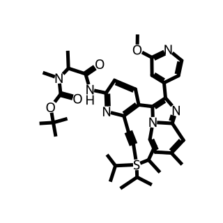 COc1cc(-c2nc3cc(C)ccn3c2-c2ccc(NC(=O)C(C)N(C)C(=O)OC(C)(C)C)nc2C#CS(C(C)C)(C(C)C)C(C)C)ccn1